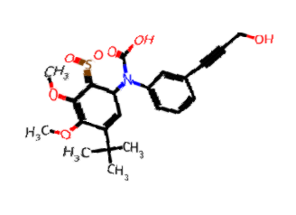 COC1=C(OC)C(=S(=O)=O)C(N(C(=O)O)c2cccc(C#CCO)c2)C=C1C(C)(C)C